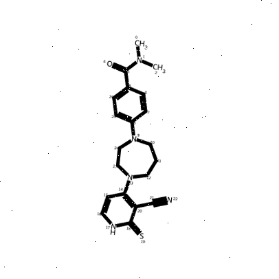 CN(C)C(=O)c1ccc(N2CCCN(c3cc[nH]c(=S)c3C#N)CC2)cc1